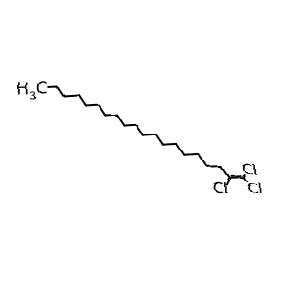 CCCCCCCCCCCCCCCCCCC(Cl)=C(Cl)Cl